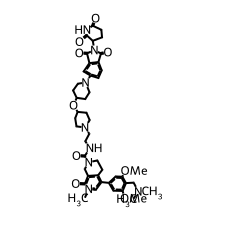 COc1cc(-c2cn(C)c(=O)c3c2CCN(C(=O)NCCN2CCC(OC4CCN(c5ccc6c(c5)C(=O)N(C5CCC(=O)NC5=O)C6=O)CC4)CC2)C3)cc(OC)c1CN(C)C